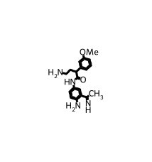 COc1cccc(C(CCN)C(=O)Nc2ccc(N)c(C(C)=N)c2)c1